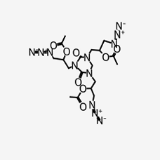 CC(=O)OC(CN=[N+]=[N-])CN1CN(CC(CN=[N+]=[N-])OC(C)=O)C(=O)N(CC(CN=[N+]=[N-])OC(C)=O)C1=O